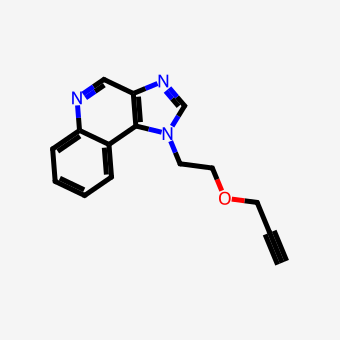 C#CCOCCn1cnc2cnc3ccccc3c21